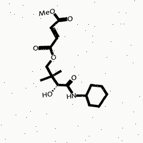 COC(=O)/C=C/C(=O)OCC(C)(C)[C@@H](O)C(=O)NC1CCCCC1